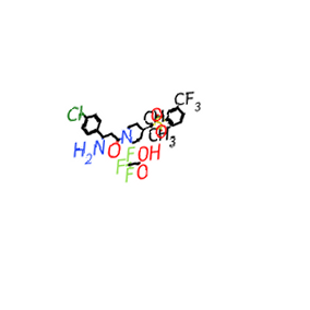 CC(C)(C1CCN(C(=O)CC(N)c2ccc(Cl)cc2)CC1)S(=O)(=O)c1cccc(C(F)(F)F)c1.O=C(O)C(F)(F)F